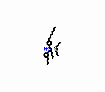 CCCCCCCCc1ccc(C2=CC(CCCC)=C(c3cccc(CCCC)c3)[N+]2=[N-])cc1.CCC[CH2][Ni][CH2]CCC